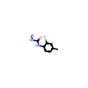 Cc1ccc(NC(=O)NC(C)C)c(F)c1